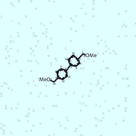 COCc1ccc(-c2ccc(COC)cc2)cc1